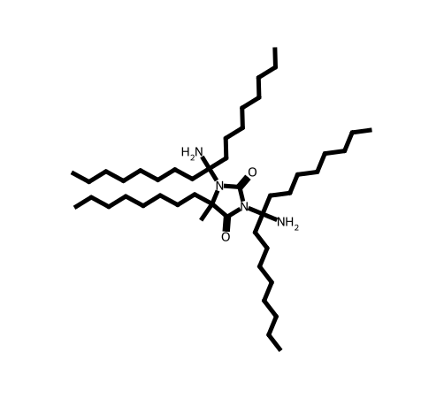 CCCCCCCCC(N)(CCCCCCCC)N1C(=O)N(C(N)(CCCCCCCC)CCCCCCCC)C(C)(CCCCCCCC)C1=O